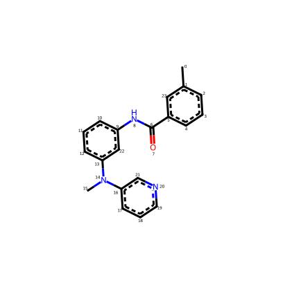 Cc1cccc(C(=O)Nc2cccc(N(C)c3cccnc3)c2)c1